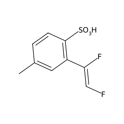 Cc1ccc(S(=O)(=O)O)c(C(F)=CF)c1